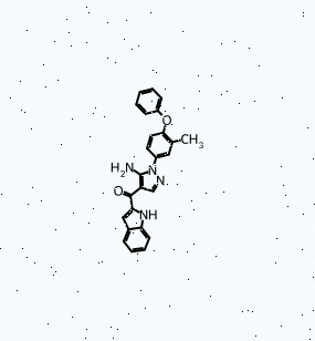 Cc1cc(-n2ncc(C(=O)c3cc4ccccc4[nH]3)c2N)ccc1Oc1ccccc1